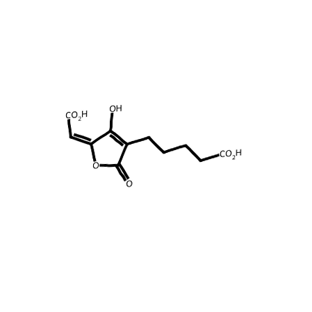 O=C(O)/C=C1/OC(=O)C(CCCCC(=O)O)=C1O